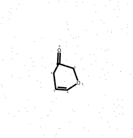 O=C1[CH]OC=CC1